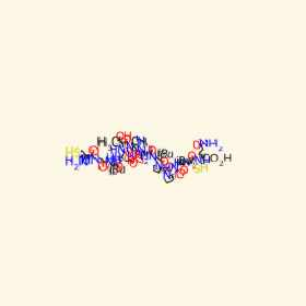 CC[C@H](C)[C@H](NC(=O)CNC(=O)[C@@H](N)CS)C(=O)N[C@@H](CC(N)=O)C(=O)N[C@H](C(=O)N[C@@H](C)C(=O)N[C@@H](CO)C(=O)N[C@H](C(=O)N1CCC[C@H]1C(=O)N1CCC[C@H]1C(=O)N[C@H](C(=O)N[C@@H](CS)C(=O)N[C@@H](CCC(N)=O)C(=O)O)[C@@H](C)CC)[C@@H](C)CC)[C@@H](C)O